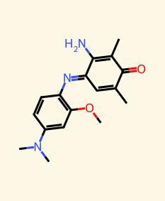 COc1cc(N(C)C)ccc1N=C1C=C(C)C(=O)C(C)=C1N